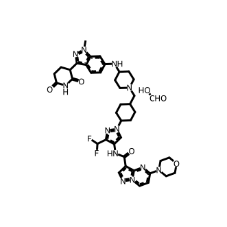 Cn1nc(C2CCC(=O)NC2=O)c2ccc(NC3CCN(CC4CCC(n5cc(NC(=O)c6cnn7ccc(N8CCOCC8)nc67)c(C(F)F)n5)CC4)CC3)cc21.O=CO